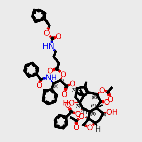 CC(=O)O[C@H]1C(=O)[C@@]2(C)[C@H]([C@H](OC(=O)c3ccccc3)[C@]3(O)C[C@H](OC(=O)[C@H](OC(=O)CCCNC(=O)OCc4ccccc4)[C@H](NC(=O)c4ccccc4)c4ccccc4)C(C)=C1C3(C)C)[C@]1(OC(C)=O)CO[C@@H]1C[C@@H]2O